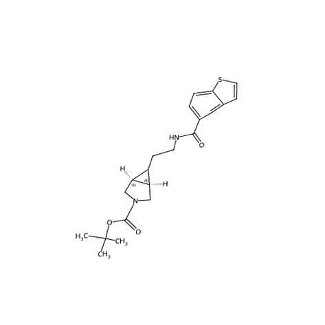 CC(C)(C)OC(=O)N1C[C@@H]2C(CCNC(=O)c3ccc4sccc4c3)[C@@H]2C1